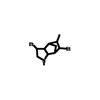 CCC1CN(C)C2C3CC(C(C)C3CC)C12